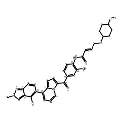 COC1CCC(NC/C=C/C(=O)Nc2ccc(C(=O)c3ccc4c(-c5ccc6nn(C)cc6c5Cl)cccn34)cc2C#N)CC1